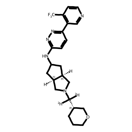 [2H]C([2H])([C@H]1CCCOC1)N1C[C@H]2CC(Nc3ccc(-c4cnccc4C(F)(F)F)nn3)C[C@H]2C1